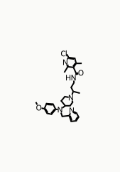 COc1ccc(N(Cc2ccccn2)C2CCN(C(C)CCNC(=O)c3c(C)cc(Cl)nc3C)CC2)cc1